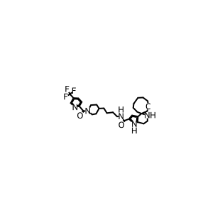 O=C(NCCCCC1CCN(C(=O)c2ccc(C(F)(F)F)cn2)CC1)c1cc2c([nH]1)CCNC21CCCCCCCC1